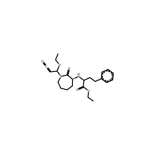 CCOC(=O)C(CCc1ccccc1)N[C@H]1CCCCN(C(C=C=O)OCC)C1=O